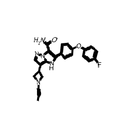 CC#CN1CC(c2cnn3c(C(N)=O)c(-c4ccc(Oc5ccc(F)cc5)cc4)[nH]c23)C1